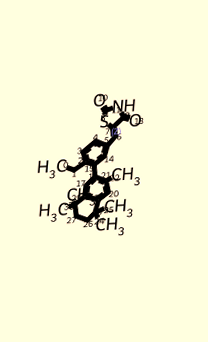 CCc1ccc(/C=C2\SC(=O)NC2=O)cc1-c1cc2c(cc1C)C(C)(C)CCC2(C)C